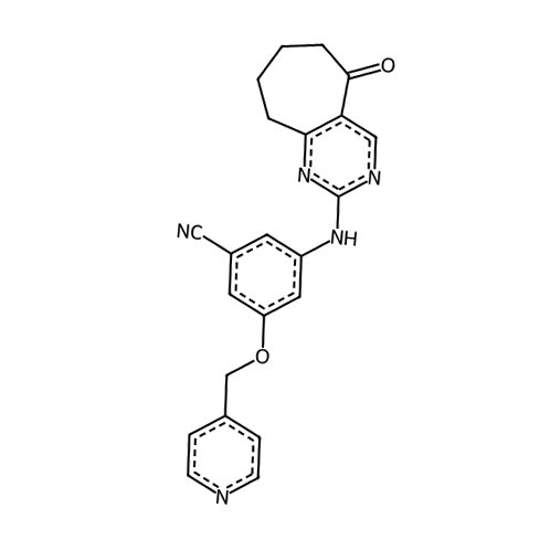 N#Cc1cc(Nc2ncc3c(n2)CCCCC3=O)cc(OCc2ccncc2)c1